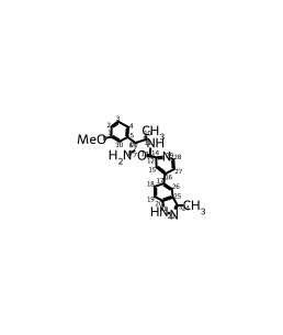 COc1cccc([C@@H](CN)C(C)NC(=O)c2cc(-c3ccc4[nH]nc(C)c4c3)ccn2)c1